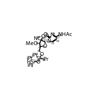 CO[C@@H]1C(CO[Si](O[SiH](C(C)C)C(C)C)(C(C)C)C(C)C)O[C@@H](n2ccc(NC(C)=O)nc2=O)C1(O)C#N